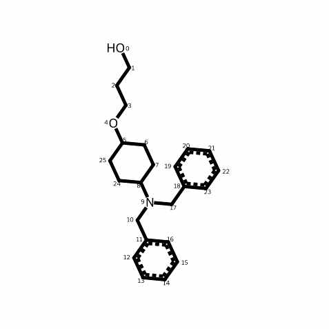 OCCCOC1CCC(N(Cc2ccccc2)Cc2ccccc2)CC1